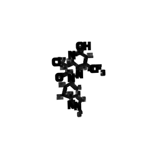 Cn1cc2cc(-n3nc4c(C(F)(F)F)cc(O)nc4c(Cl)c3=O)ccc2n1